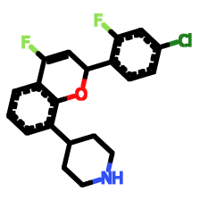 FC1=CC(c2ccc(Cl)cc2F)Oc2c1cccc2C1CCNCC1